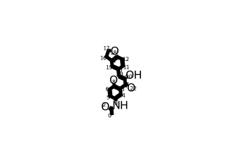 CC(=O)Nc1ccc2oc(-c3ccc4c(c3)CCO4)c(O)c(=O)c2c1